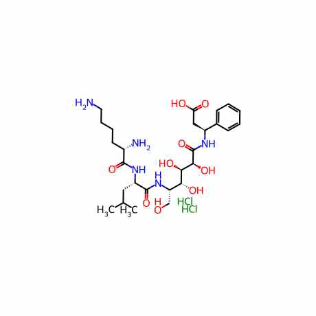 CC(C)C[C@H](NC(=O)[C@@H](N)CCCCN)C(=O)N[C@@H](CO)[C@@H](O)[C@@H](O)[C@H](O)C(=O)N[C@@H](CC(=O)O)c1ccccc1.Cl.Cl